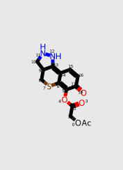 CC(=O)OCC(=O)OC1=C2SCC3CNNC3=C2C=CC1=O